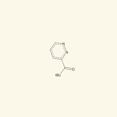 CC(C)(C)C(=O)c1cccnn1